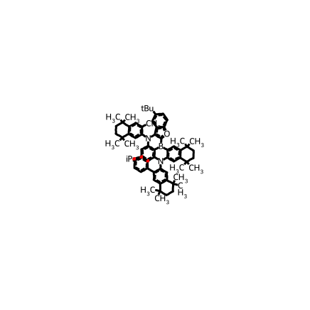 Cc1cc2c(cc1N1c3cc(C(C)C)cc4c3B(c3cc5c(cc3N4c3cc4c(cc3-c3ccccc3)C(C)(C)CCC4(C)C)C(C)(C)CCC5(C)C)c3oc4ccc(C(C)(C)C)cc4c31)C(C)(C)CCC2(C)C